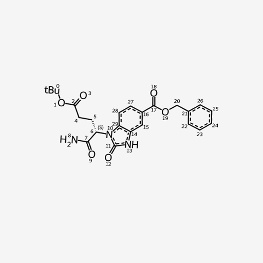 CC(C)(C)OC(=O)CC[C@@H](C(N)=O)n1c(=O)[nH]c2cc(C(=O)OCc3ccccc3)ccc21